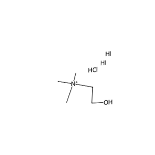 C[N+](C)(C)CCO.Cl.I.I